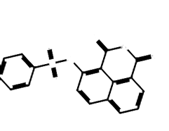 O=C1NC(=O)c2c(OS(=O)(=O)c3ccccc3)ccc3cccc1c23